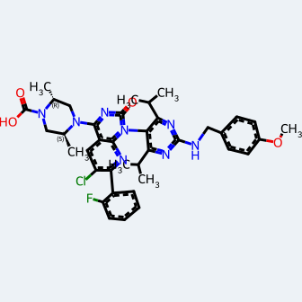 COc1ccc(CNc2nc(C(C)C)c(-n3c(=O)nc(N4C[C@@H](C)N(C(=O)O)C[C@@H]4C)c4cc(Cl)c(-c5ccccc5F)nc43)c(C(C)C)n2)cc1